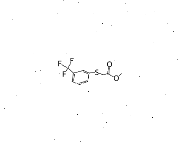 COC(=O)CSc1cccc(C(F)(F)F)c1